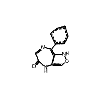 O=C1C=NC(c2ccccc2)=C2NOC=C2N1